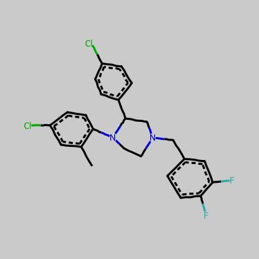 Cc1cc(Cl)ccc1N1CCN(Cc2ccc(F)c(F)c2)CC1c1ccc(Cl)cc1